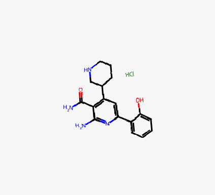 Cl.NC(=O)c1c(C2CCCNC2)cc(-c2ccccc2O)nc1N